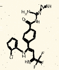 N=N/N=C(\N)NC(=O)c1ccc(/C(=C/C(=N)C(F)(F)F)Nc2ccccc2Cl)cc1